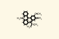 COc1cc(-c2c3ccccc3[n+](C)c3cccc(C(=O)[C@H](C)N)c23)ccc1N